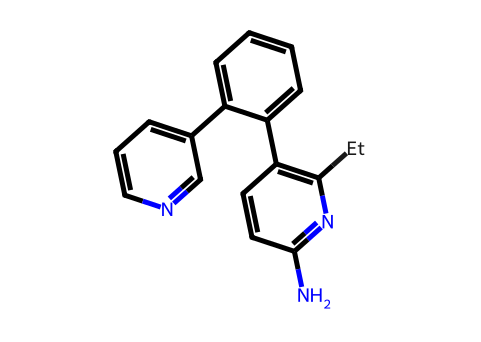 CCc1nc(N)ccc1-c1ccccc1-c1cccnc1